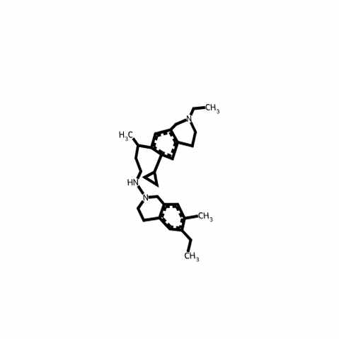 CCc1cc2c(cc1C)CN(NCCC(C)c1cc3c(cc1C1CC1)CCN(CC)C3)CC2